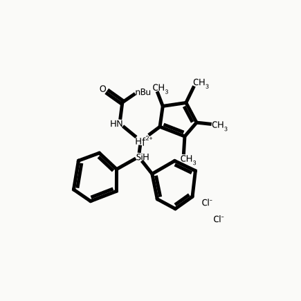 CCCCC(=O)[NH][Hf+2]([C]1=C(C)C(C)=C(C)C1C)[SiH](c1ccccc1)c1ccccc1.[Cl-].[Cl-]